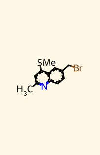 CSc1cc(C)nc2ccc(CBr)cc12